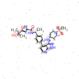 C[C@@H](NC(=O)c1cc(C(C)(C)O)on1)c1ccc(-c2ccnc3[nH]nc(NC4CCN(S(C)(=O)=O)CC4)c23)cc1